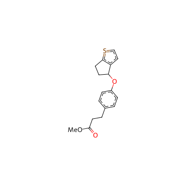 COC(=O)CCc1ccc(OC2CCc3sccc32)cc1